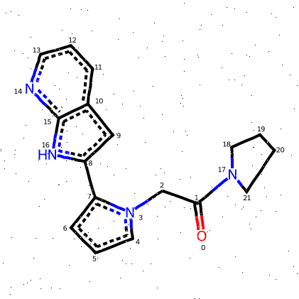 O=C(Cn1cccc1-c1cc2cccnc2[nH]1)N1CCCC1